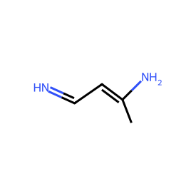 C/C(N)=C\C=N